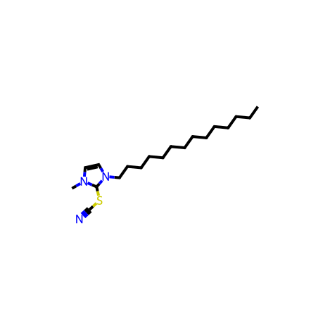 CCCCCCCCCCCCCCN1C=CN(C)C1SC#N